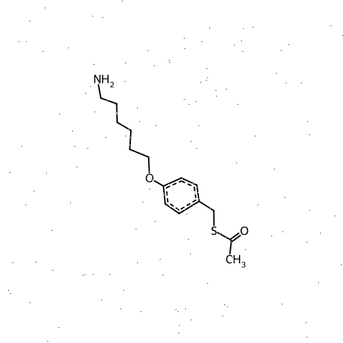 CC(=O)SCc1ccc(OCCCCCCN)cc1